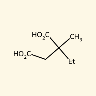 CCC(C)(CC(=O)O)C(=O)O